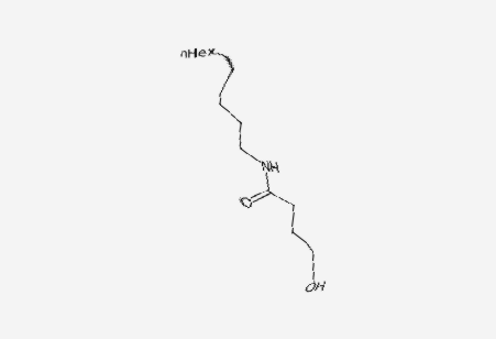 CCCCCCCCCCNC(=O)CCCO